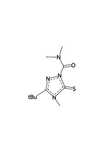 CN(C)C(=O)n1nc(C(C)(C)C)n(C)c1=S